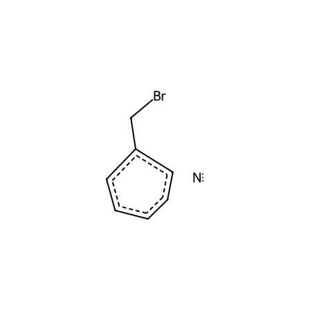 BrCc1ccccc1.[N]